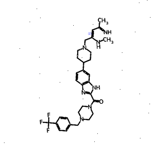 CN/C(=C\C(C)=N)CN1CCC(c2ccc3nc(C(=O)N4CCN(Cc5ccc(C(F)(F)F)cc5)CC4)[nH]c3c2)CC1